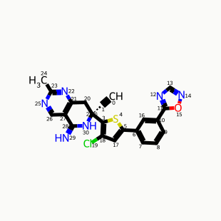 C#C[C@@]1(c2sc(-c3cccc(-c4ncno4)c3)cc2Cl)Cc2nc(C)ncc2C(=N)N1